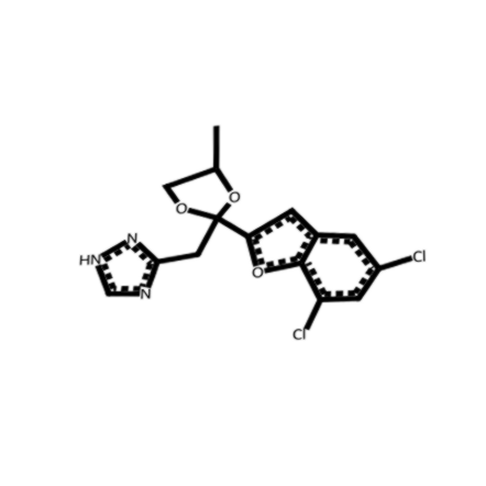 CC1COC(Cc2nc[nH]n2)(c2cc3cc(Cl)cc(Cl)c3o2)O1